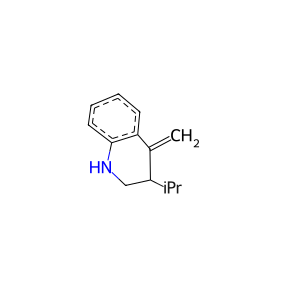 C=C1c2ccccc2NCC1C(C)C